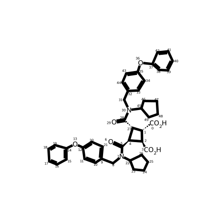 O=C(O)[C@@H]1[C@@H](C(=O)O)[C@@H](C(=O)N(Cc2ccc(Oc3ccccc3)cc2)C2CCCC2)[C@@H]1C(=O)N(Cc1ccc(Oc2ccccc2)cc1)C1CCCC1